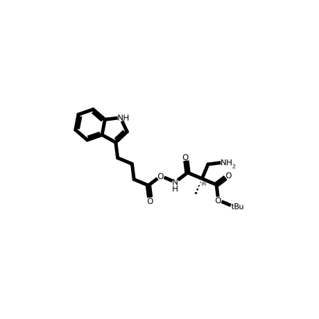 CC(C)(C)OC(=O)[C@](C)(CN)C(=O)NOC(=O)CCCc1c[nH]c2ccccc12